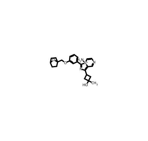 CC1(O)CC(C2=C3C=NC=C[N+]3(N)C(c3cccc(OCC45CCC(CC4)O5)c3)=N2)C1